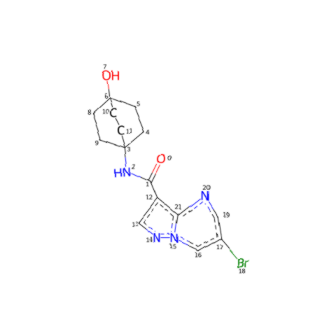 O=C(NC12CCC(O)(CC1)CC2)c1cnn2cc(Br)cnc12